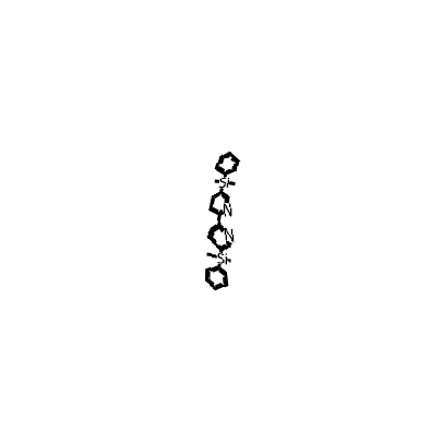 C[Si](C)(c1ccccc1)c1ccc(-c2ccc([Si](C)(C)c3ccccc3)cn2)nc1